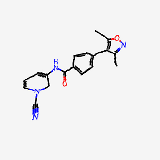 Cc1noc(C)c1-c1ccc(C(=O)NC2=CC=CN(C#N)C2)cc1